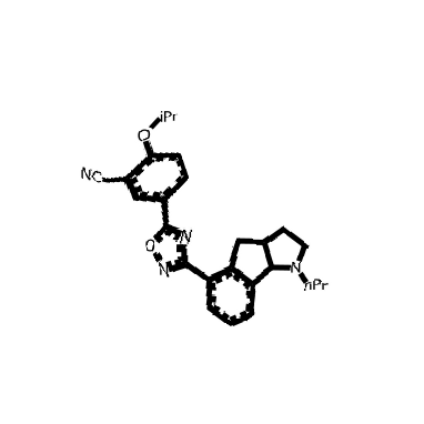 CCCN1CCC2Cc3c(-c4noc(-c5ccc(OC(C)C)c(C#N)c5)n4)cccc3C21